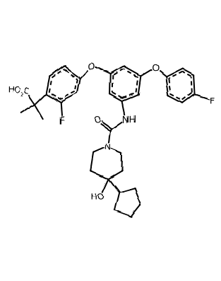 CC(C)(C(=O)O)c1ccc(Oc2cc(NC(=O)N3CCC(O)(C4CCCC4)CC3)cc(Oc3ccc(F)cc3)c2)cc1F